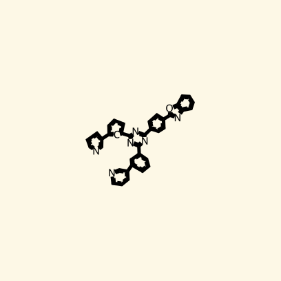 c1cncc(-c2cccc(-c3nc(-c4ccc(-c5nc6ccccc6o5)cc4)nc(-c4cccc(-c5cccnc5)c4)n3)c2)c1